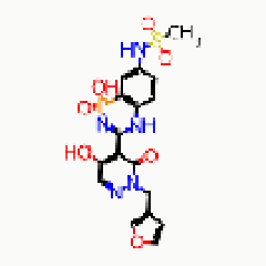 CS(=O)(=O)Nc1ccc2c(c1)P(=O)(O)N=C(c1c(O)cnn(Cc3ccoc3)c1=O)N2